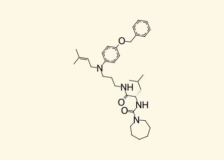 CC(C)=CCN(CCCNC(=O)[C@H](CC(C)C)NC(=O)N1CCCCCC1)c1ccc(OCc2ccccc2)cc1